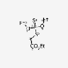 CCOC(=O)CSP(=S)(OCC)OCC